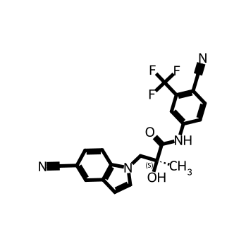 C[C@](O)(Cn1ccc2cc(C#N)ccc21)C(=O)Nc1ccc(C#N)c(C(F)(F)F)c1